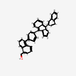 O=Cc1cccc2c(-c3ccc(-c4c5ccccc5c(-c5ccc6ccccc6c5)c5ccccc45)cc3)cccc12